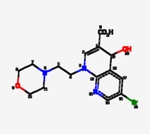 O=C(O)C1=CN(CCN2CCOCC2)c2ncc(Br)cc2C1O